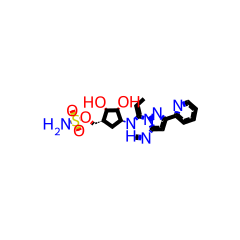 C=Nc1cc(-c2ccccn2)nn1/C(=C\C)N[C@@H]1C[C@H](COS(N)(=O)=O)[C@@H](O)[C@H]1O